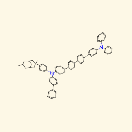 CC1CC2CC(C1)CC(C)(c1ccc(N(c3ccc(-c4ccccc4)cc3)c3ccc(-c4ccc(-c5ccc(-c6ccc(N(c7ccccc7)c7ccccc7)cc6)cc5)cc4)cc3)cc1)C2